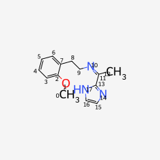 COc1ccccc1CCN=C(C)c1ncc[nH]1